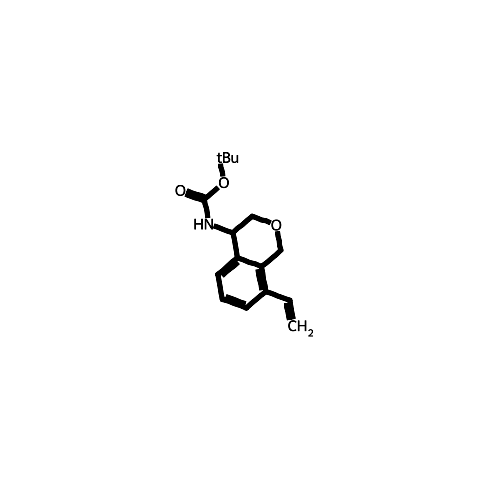 C=Cc1cccc2c1COCC2NC(=O)OC(C)(C)C